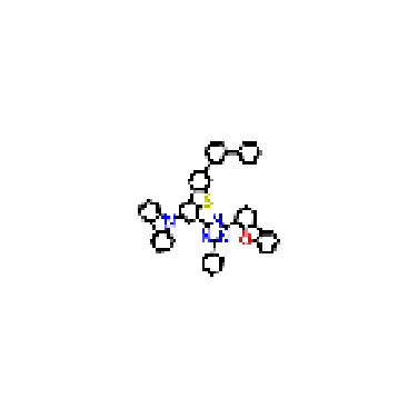 c1ccc(-c2cccc(-c3ccc4c(c3)sc3c(-c5nc(-c6ccccc6)nc(-c6cccc7c6oc6ccccc67)n5)cc(-n5c6ccccc6c6ccccc65)cc34)c2)cc1